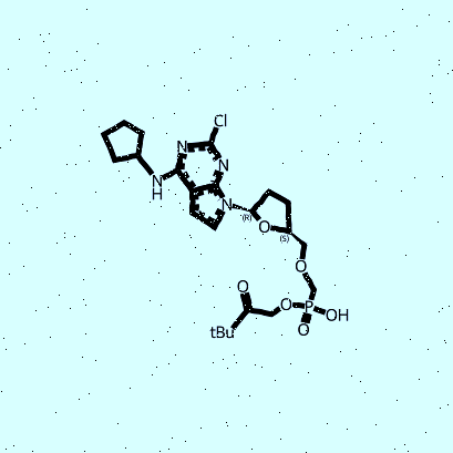 CC(C)(C)C(=O)COP(=O)(O)COC[C@@H]1CC[C@H](n2ccc3c(NC4CCCC4)nc(Cl)nc32)O1